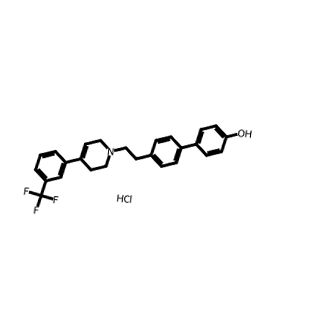 Cl.Oc1ccc(-c2ccc(CCN3CC=C(c4cccc(C(F)(F)F)c4)CC3)cc2)cc1